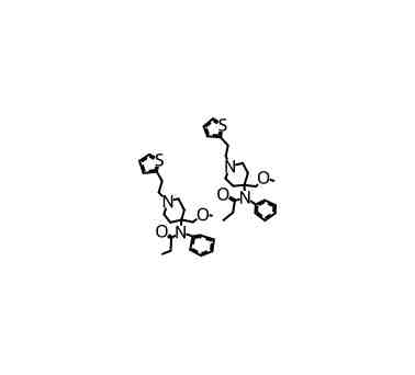 CCC(=O)N(c1ccccc1)C1(COC)CCN(CCc2cccs2)CC1.CCC(=O)N(c1ccccc1)C1(COC)CCN(CCc2cccs2)CC1